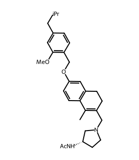 COc1cc(CC(C)C)ccc1COc1ccc2c(c1)CCC(CN1CC[C@H](NC(C)=O)C1)=C2C